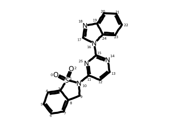 O=S1(=O)c2ccccc2CN1c1ccnc(-n2cnc3ccccc32)n1